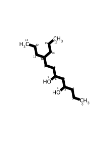 CCCC(O)CC(O)CCC(CCC)CCC